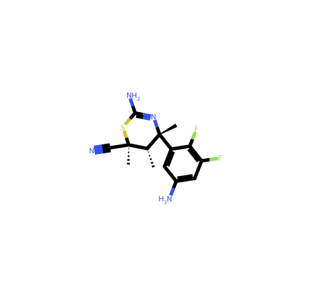 C[C@@H]1[C@@](C)(C#N)SC(N)=N[C@]1(C)c1cc(N)cc(F)c1F